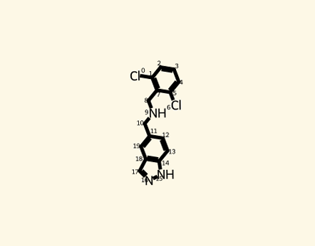 Clc1cccc(Cl)c1CNCc1ccc2[nH]ncc2c1